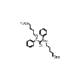 CCCCCCCCCCCCCCON([C](CC)N(OCCCCCCCCCCCCCC)c1ccccc1)c1ccccc1